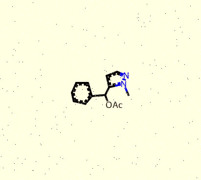 CC(=O)OC(c1ccccc1)c1ccnn1C